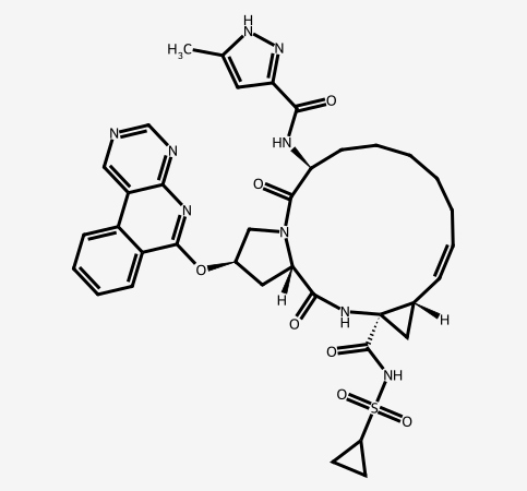 Cc1cc(C(=O)N[C@H]2CCCCCC=C[C@@H]3C[C@@]3(C(=O)NS(=O)(=O)C3CC3)NC(=O)[C@@H]3C[C@@H](Oc4nc5ncncc5c5ccccc45)CN3C2=O)n[nH]1